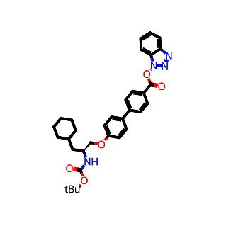 CC(C)(C)OC(=O)N[C@H](COc1ccc(-c2ccc(C(=O)On3nnc4ccccc43)cc2)cc1)CC1CCCCC1